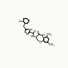 Cc1cc(C)c2c(c1)OC[C@H](NC(=O)c1nnc(Cc3ccccc3F)[nH]1)C(=O)N2